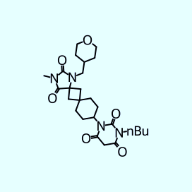 CCCCN1C(=O)CC(=O)N(C2CCC3(CC2)CC2(C3)C(=O)N(C)C(=O)N2CC2CCOCC2)C1=O